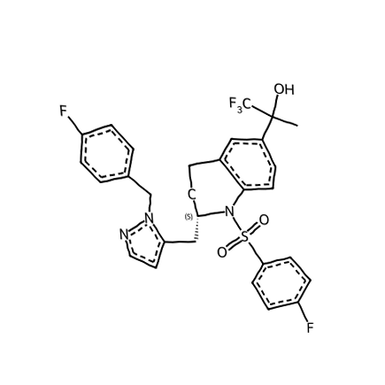 CC(O)(c1ccc2c(c1)CC[C@@H](Cc1ccnn1Cc1ccc(F)cc1)N2S(=O)(=O)c1ccc(F)cc1)C(F)(F)F